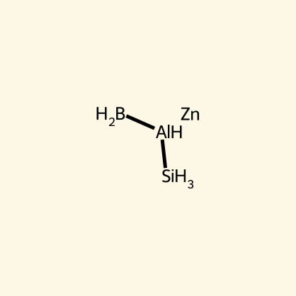 [BH2][AlH][SiH3].[Zn]